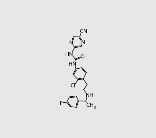 C[C@H](NCCc1ccc(NC(=O)Nc2cnc(C#N)cn2)cc1Cl)c1ccc(F)cc1